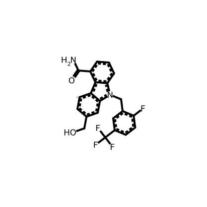 NC(=O)c1cccc2c1c1[c]cc(CO)cc1n2Cc1cc(C(F)(F)F)ccc1F